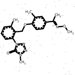 CO/N=C(\C)c1ccc(OCc2c(C)cccc2-n2nnn(C)c2=O)c(C)c1